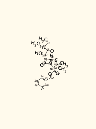 CCN(CC)C(=O)[C@@H](O)[C@@H]1C(=O)N2[C@@H]1SC(C)(C)[C@@H]2C(=O)OCc1ccccc1